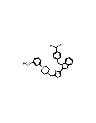 CCCC(CCC)c1ccc(Cn2c(-c3csc(CN4CCN(c5cccc(C(=O)O)c5)CC4)n3)nc3ccccc32)cc1